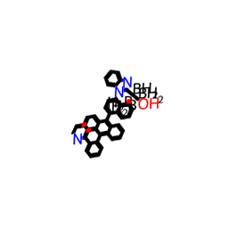 BC(B)(O)C(B)(B)c1nc2ccccc2n1-c1ccc(-c2c3ccccc3c(-c3ccccc3-c3ccccn3)c3ccccc23)c2ccccc12